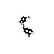 Cc1ccc2c(c1)B(OCc1ccc3c(=O)[nH]ccc3c1)OC2